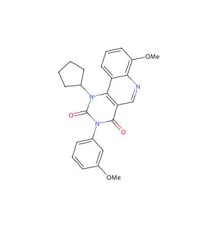 COc1cccc(-n2c(=O)c3cnc4c(OC)cccc4c3n(C3CCCC3)c2=O)c1